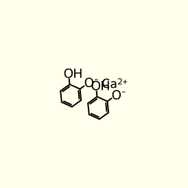 [Ca+2].[O-]c1ccccc1O.[O-]c1ccccc1O